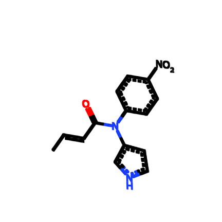 CC=CC(=O)N(c1ccc([N+](=O)[O-])cc1)c1cc[nH]c1